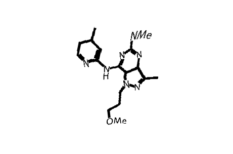 CNC1=NC2C(C)=NN(CCCOC)C2C(NC2=CC(C)CC=N2)=N1